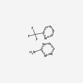 FC(F)(F)c1ccccn1.Nc1nccnn1